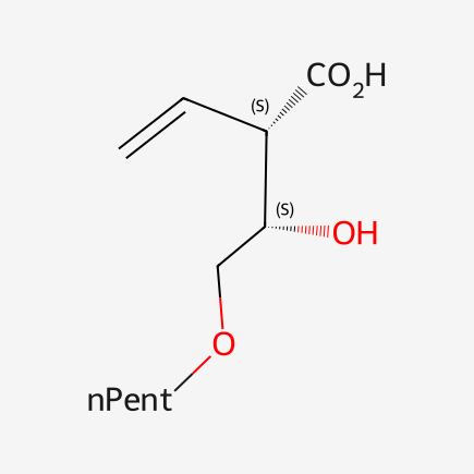 C=C[C@H](C(=O)O)[C@H](O)COCCCCC